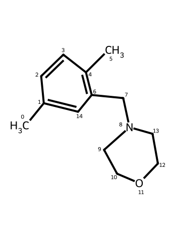 Cc1ccc(C)c(CN2CCOCC2)c1